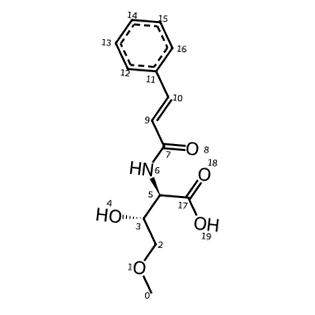 COC[C@H](O)[C@@H](NC(=O)/C=C/c1ccccc1)C(=O)O